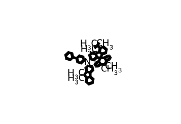 CC(C)(C)c1cccc2c1-c1ccc(N(c3ccc(-c4ccccc4)cc3)c3ccc4c(c3)C(C)(C)c3ccccc3-4)cc1C21c2ccccc2C(C)(C)c2ccccc21